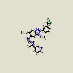 Cc1cc2nc(-c3cccc(C(F)(F)F)c3)n(C)c2cc1Nc1nc(-c2cccnc2)cs1